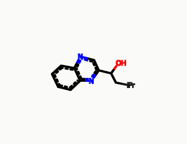 CC(C)CC(O)c1cnc2ccccc2n1